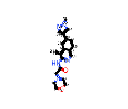 [2H]c1c(NC(=O)CN2CCOCC2)ncc2ccc(-c3cnn(C)c3)cc12